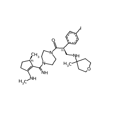 CNC1=C(C(=N)N2CCN(C(=O)[C@H](CNC3(C)CCOCC3)c3ccc(I)cc3)CC2)[C@H](C)CC1